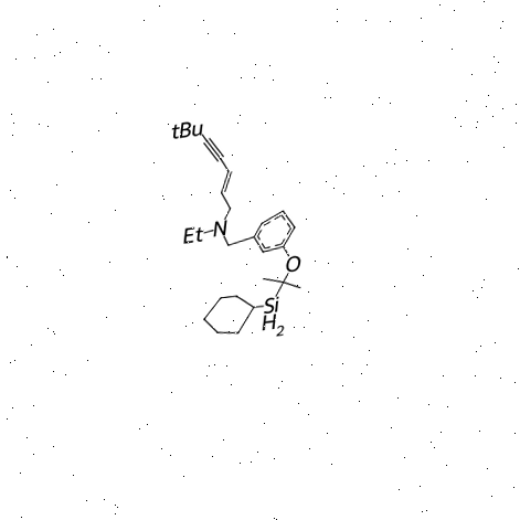 CCN(CC=CC#CC(C)(C)C)Cc1cccc(OC(C)(C)[SiH2]C2CCCCC2)c1